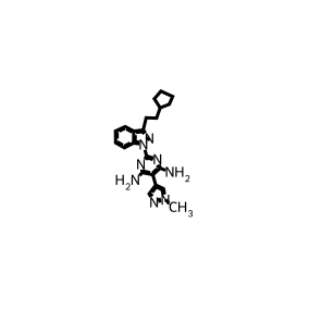 Cn1cc(-c2c(N)nc(-n3nc(CCC4CCCC4)c4ccccc43)nc2N)cn1